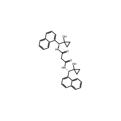 O=C(CC(=O)N[C@@H](c1cccc2ccccc12)C1(O)CC1)N[C@@H](c1cccc2ccccc12)C1(O)CC1